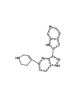 C1=C(c2ccc3[nH]nc(-c4cc5ccncc5[nH]4)c3n2)CCNC1